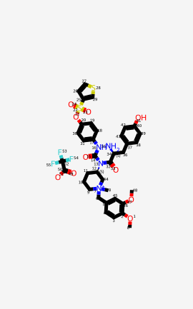 COc1ccc(C[N+]2(C)CCC[C@H](N(C(=O)Nc3ccc(OS(=O)(=O)c4ccsc4)cc3)C(=O)[C@@H](N)Cc3ccc(O)cc3)C2)cc1OC.O=C([O-])C(F)(F)F